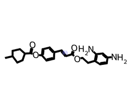 CC1CCC(C(=O)Oc2ccc(/C=C/C(=O)OCCc3ccc(N)cc3N)cc2)CC1